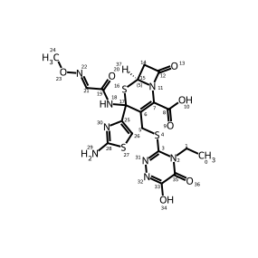 CCn1c(SCC2=C(C(=O)O)N3C(=O)C[C@@H]3SC2(NC(=O)C=NOC)c2csc(N)n2)nnc(O)c1=O